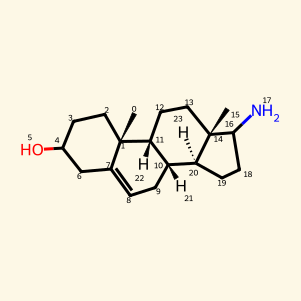 C[C@]12CCC(O)CC1=CC[C@@H]1[C@H]2CC[C@]2(C)C(N)CC[C@@H]12